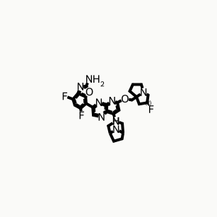 Nc1nc2c(F)cc(F)c(-c3cnc4c(N5CC6CCC(C5)N6)cc(OCC56CCCN5C[C@H](F)C6)nc4n3)c2o1